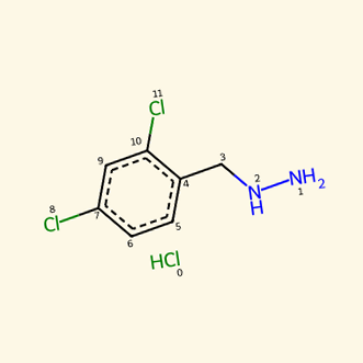 Cl.NNCc1ccc(Cl)cc1Cl